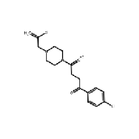 C=C(Cl)CN1CCN(C(=O)CCC(=O)c2ccc(Cl)cc2)CC1.Cl